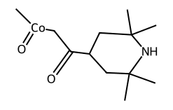 [CH3][Co](=[O])[CH2]C(=O)C1CC(C)(C)NC(C)(C)C1